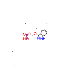 O=[PH](O)OCOc1n[nH]c2ccccc12